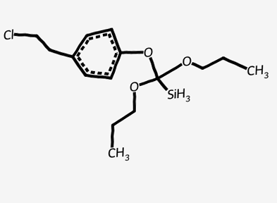 CCCOC([SiH3])(OCCC)Oc1ccc(CCCl)cc1